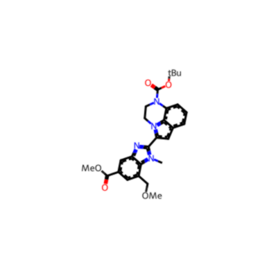 COCc1cc(C(=O)OC)cc2nc(-c3cc4cccc5c4n3CCN5C(=O)OC(C)(C)C)n(C)c12